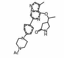 CC(=O)N1CCN(c2ccc(-c3cn4ncc(C)c4c(OC(C)C4CNC(=O)C4)n3)cc2)CC1